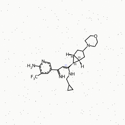 N=C(/C=C(\NCC1CC1)[C@H]1[C@@H]2CC(N3CCOCC3)C[C@@H]21)c1cnc(N)c(C(F)(F)F)c1